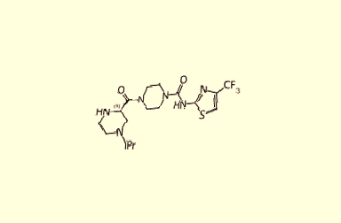 CC(C)N1CCN[C@@H](C(=O)N2CCN(C(=O)Nc3nc(C(F)(F)F)cs3)CC2)C1